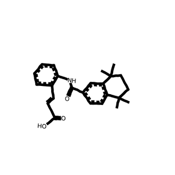 CC1(C)CCC(C)(C)c2cc(C(=O)Nc3ccccc3C=CC(=O)O)ccc21